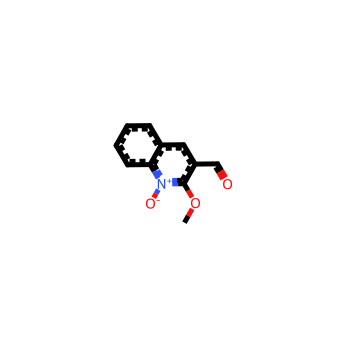 COc1c(C=O)cc2ccccc2[n+]1[O-]